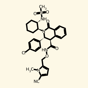 Cn1c(C#N)ccc1CONC(=O)[C@@H]1c2ccccc2C(=O)N([C@H]2CCCC[C@@H]2NS(C)(=O)=O)[C@H]1c1ccc(Cl)cc1